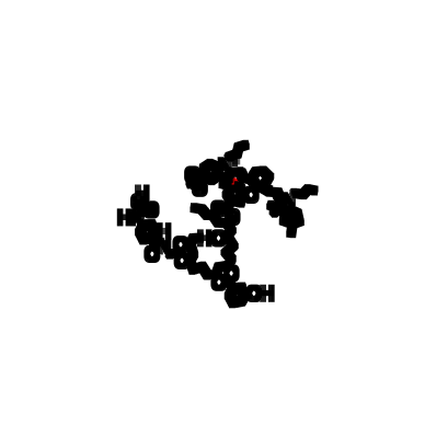 CCCCN1/C(=C/C=C2\CCCC(/C=C/C3=[N+](CCCC)c4ccc(S(C)(=O)=O)cc4C3(C)C)=C2Oc2cccc(C3OC(CCC)CC(CC(O)CCCC4CC(CCCC5CC(CC)OC(CNC(=O)c6ccc(N[SH](=O)=O)cc6)O5)OC(c5cccc(O)c5)O4)O3)c2)C(C)(C)c2cc(C)ccc21